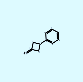 N=C1CN(c2ccccc2)C1